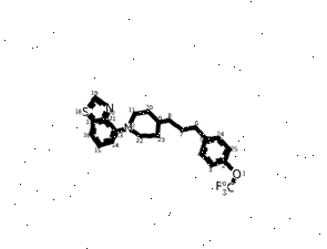 FC(F)(F)Oc1ccc(CCCC2CCN(c3cccc4s[c]nc34)CC2)cc1